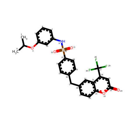 CC(C)Oc1cccc(NS(=O)(=O)c2ccc(Cc3ccc4oc(=O)cc(C(F)(F)F)c4c3)cc2)c1